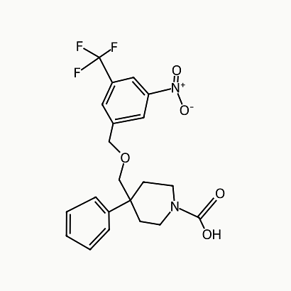 O=C(O)N1CCC(COCc2cc([N+](=O)[O-])cc(C(F)(F)F)c2)(c2ccccc2)CC1